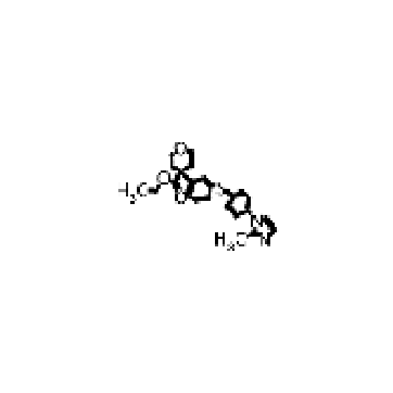 CCOC(=O)C1(c2cccc(Sc3ccc(-n4ccnc4C)cc3)c2)CCOCC1